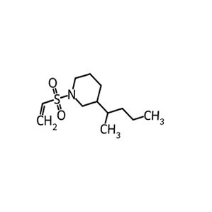 C=CS(=O)(=O)N1CCCC(C(C)CCC)C1